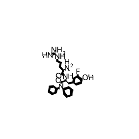 N=C(N)NCCC[C@H](N)C(=O)N[C@@H](Cc1ccc(O)c(F)c1)C(=O)N(c1ccccc1)c1ccccc1